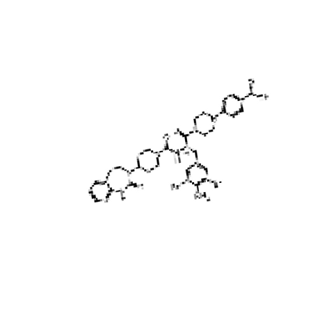 Nc1c(Br)cc(C[C@@H](NC(=O)N2CCC(N3CCc4ccccc4NC3=O)CC2)C(=O)N2CCN(c3ccc(C(=O)O)cc3)CC2)cc1Br